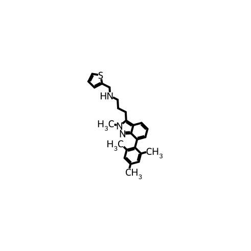 Cc1cc(C)c(-c2cccc3c(CCCNCc4cccs4)n(C)nc23)c(C)c1